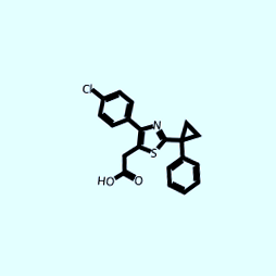 O=C(O)Cc1sc(C2(c3ccccc3)CC2)nc1-c1ccc(Cl)cc1